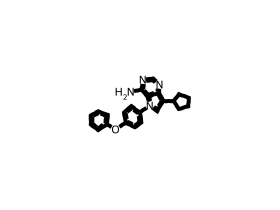 Nc1ncnc2c(C3CCCC3)cn(-c3ccc(Oc4ccccc4)cc3)c12